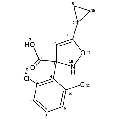 O=C(O)C1(c2c(Cl)cccc2Cl)C=C(C2CC2)ON1